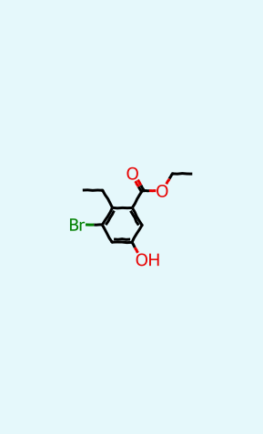 CCOC(=O)c1cc(O)cc(Br)c1CC